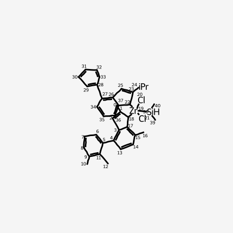 CC1=Cc2c(-c3cccc(C)c3C)ccc(C)c2[CH]1[Zr]([Cl])([Cl])([CH]1C(C(C)C)=Cc2c(-c3ccccc3)cccc21)[SiH](C)C